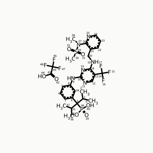 CC(C)C(c1cccc(Nc2ncc(C(F)(F)F)c(NCc3cccnc3N(C)S(C)(=O)=O)n2)c1)(C(C)C)P(=O)(O)O.O=C(O)C(F)(F)F